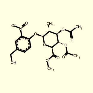 COC(=O)[C@H]1O[C@@H](Oc2ccc(CO)cc2[N+](=O)[O-])[C@H](C)[C@@H](OC(C)=O)[C@@H]1OC(C)=O